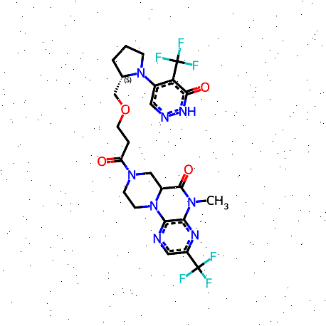 CN1C(=O)C2CN(C(=O)CCOC[C@@H]3CCCN3c3cn[nH]c(=O)c3C(F)(F)F)CCN2c2ncc(C(F)(F)F)nc21